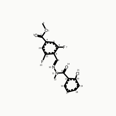 COC(=O)c1cc(F)c(/C=N/N(C)C(=O)c2ccccc2Cl)c(F)c1